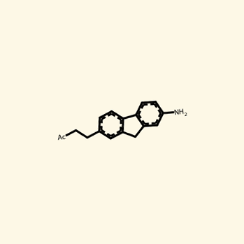 CC(=O)CCc1ccc2c(c1)Cc1cc(N)ccc1-2